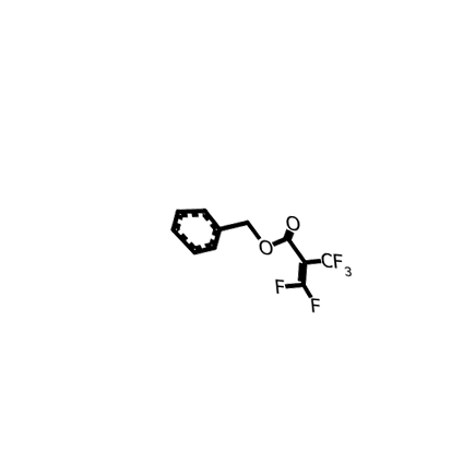 O=C(OCc1ccccc1)C(=C(F)F)C(F)(F)F